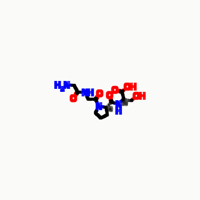 NCC(=O)NCC(=O)N1CCC[C@H]1C(=O)N[C@@H](CO)C(=O)O